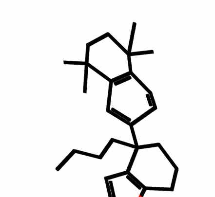 CCCCC1(c2ccc3c(c2)C(C)(C)CCC3(C)C)CCCc2occc21